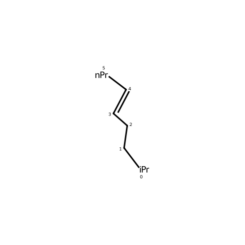 [CH2]C(C)CCC=CCCC